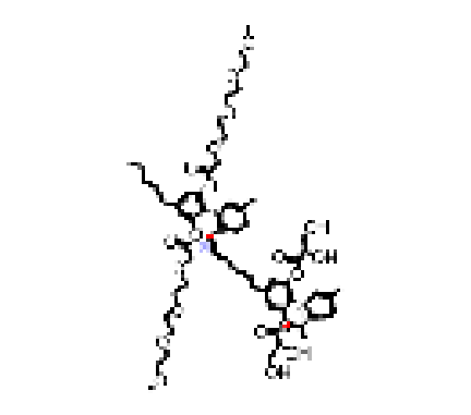 C=C(C)[C@@H]1CCC(C)=C[C@H]1c1c(OC(=O)[C@@H](O)CO)cc(CCCC/C=C(/C)[C@@H]2CCC(C)=C[C@H]2c2c(OC(=O)COCCOCCOCCOC)cc(CCCCC)cc2OC(=O)COCCOCCOCCOC)cc1OC(=O)[C@@H](O)CO